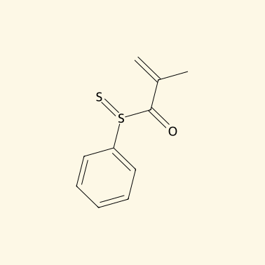 C=C(C)C(=O)S(=S)c1ccccc1